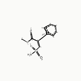 COC(=O)C(=CS(N)(=O)=O)c1ccccc1